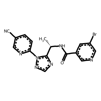 C[C@H](NC(=O)c1cncc(Br)c1)c1ncnn1-c1ccc(C#N)cn1